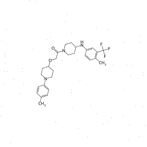 Cc1ccc(N2CCC(OCC(=O)N3CCC(Nc4ccc(C)c(C(F)(F)F)c4)CC3)CC2)cc1